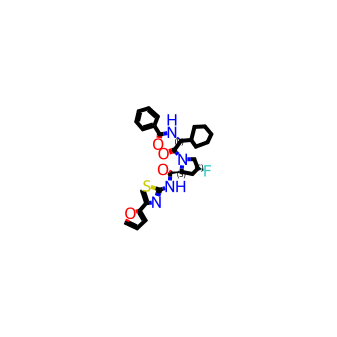 O=C(N[C@@H](C(=O)N1C[C@@H](F)C[C@H]1C(=O)Nc1nc(-c2ccco2)cs1)C1CCCCC1)c1ccccc1